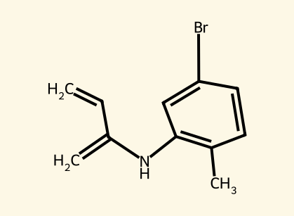 C=CC(=C)Nc1cc(Br)ccc1C